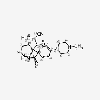 CN1CCN(C2=CCC(C(N)=O)(C3(C(=O)N(C)C#N)CCCCC3)C=C2)CC1